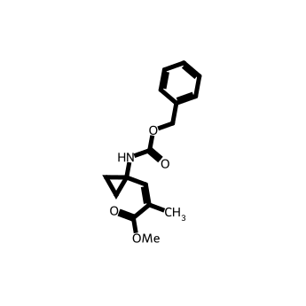 COC(=O)/C(C)=C\C1(NC(=O)OCc2ccccc2)CC1